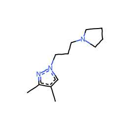 Cc1cn(CCCN2CCCC2)nc1C